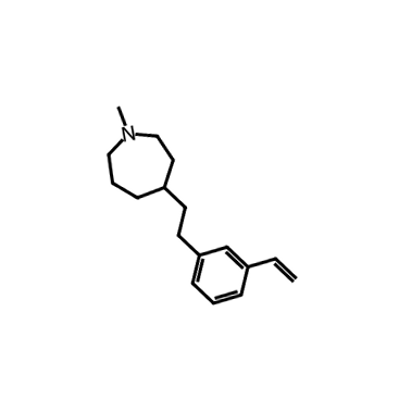 C=Cc1cccc(CCC2CCCN(C)CC2)c1